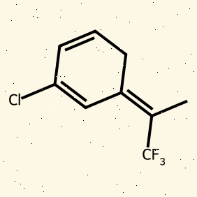 CC(=C1C=C(Cl)C=CC1)C(F)(F)F